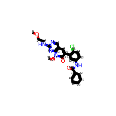 COCCNc1ncc2cc(-c3cc(NC(=O)c4ccccc4)ccc3Cl)c(=O)n(OC)c2n1